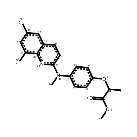 COC(=O)C(C)Oc1ccc(N(C)c2ccc3cc(Cl)cc(Cl)c3n2)cc1